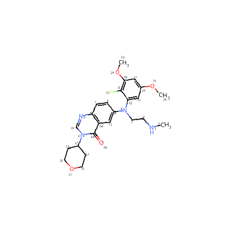 CNCCN(c1ccc2ncn(C3CCOCC3)c(=O)c2c1)c1cc(OC)cc(OC)c1F